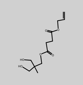 C=CCOC(=O)CCC(=O)OCC(C)(CO)CO